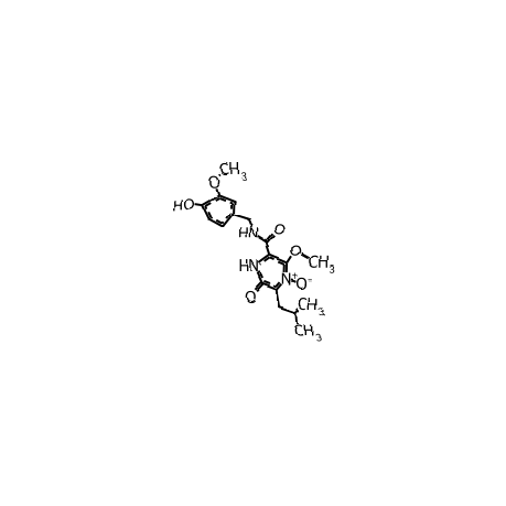 COc1cc(CNC(=O)c2[nH]c(=O)c(CC(C)C)[n+]([O-])c2OC)ccc1O